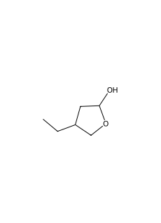 CCC1COC(O)C1